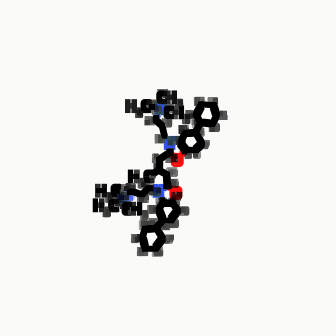 CC(=C/c1oc2ccc(-c3ccccc3)cc2[n+]1CCC[N+](C)(C)C)/C=C1/Oc2ccc(-c3ccccc3)cc2N1CCC[N+](C)(C)C